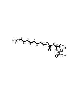 CCCCCCCCCOC(=O)CC(C)OS(=O)(=O)O